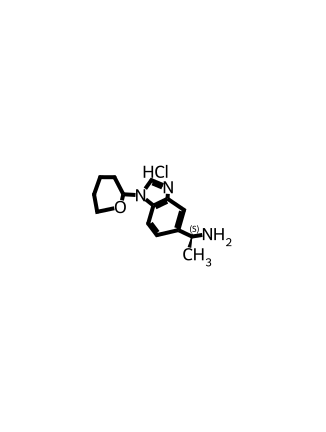 C[C@H](N)c1ccc2c(c1)ncn2C1CCCCO1.Cl